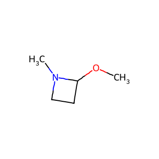 COC1CCN1C